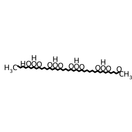 CCCCCC(O)CC(O)CC(=O)CCCC(=O)CC(O)CC(=O)CCCC(=O)CC(O)CC(=O)CCCCCC(=O)CC(O)CC(=O)CCCC(C)=O